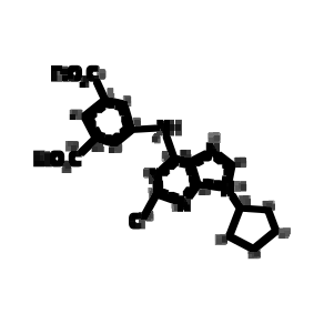 CCOC(=O)c1cc(Nc2nc(Cl)nc3c2ncn3C2CCCC2)cc(C(=O)OCC)c1